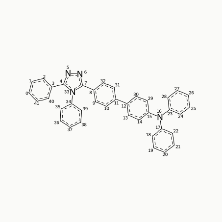 c1ccc(-c2nnc(-c3ccc(-c4ccc(N(c5ccccc5)c5ccccc5)cc4)cc3)n2-c2ccccc2)cc1